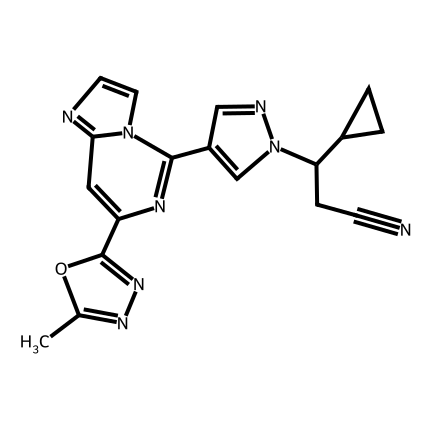 Cc1nnc(-c2cc3nccn3c(-c3cnn(C(CC#N)C4CC4)c3)n2)o1